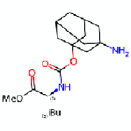 CC[C@H](C)[C@H](NC(=O)OC12CC3CC(CC(N)(C3)C1)C2)C(=O)OC